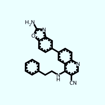 N#Cc1cnc2ccc(-c3ccc4oc(N)nc4c3)cc2c1NCCc1ccccc1